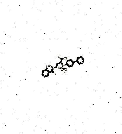 CS(=O)(=O)N(c1ccc(-c2ccccc2)cc1)C(CCn1nnc2ccccc2c1=O)C(=O)O